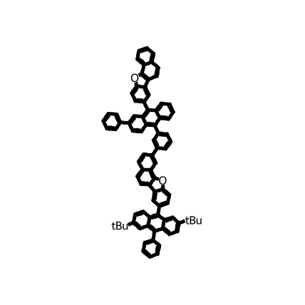 CC(C)(C)c1ccc2c(-c3ccc4oc5c6cc(-c7cccc(-c8c9ccccc9c(-c9ccc%10oc%11c%12ccccc%12ccc%11c%10c9)c9cc(-c%10ccccc%10)ccc89)c7)ccc6ccc5c4c3)c3cc(C(C)(C)C)ccc3c(-c3ccccc3)c2c1